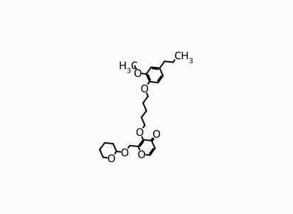 CCCc1ccc(OCCCCCOc2c(COC3CCCCO3)occc2=O)c(OC)c1